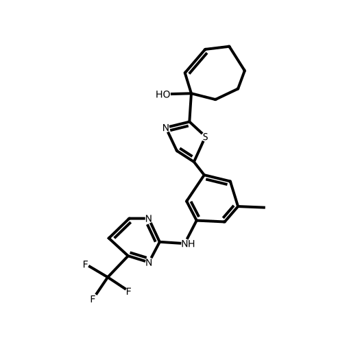 Cc1cc(Nc2nccc(C(F)(F)F)n2)cc(-c2cnc(C3(O)C=CCCCC3)s2)c1